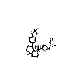 O=C(N[C@]1(c2ccc(OC(F)(F)F)cc2)CCOc2cccnc21)c1ccns1.O=CO